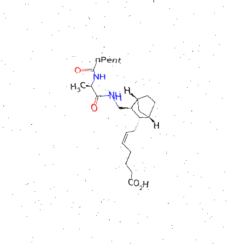 CCCCCC(=O)N[C@H](C)C(=O)NC[C@H]1[C@@H]2CC[C@@H](C2)[C@@H]1C/C=C\CCCC(=O)O